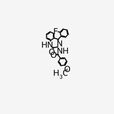 COc1ccc(C(=O)N[C@H]2N=C(c3ccccc3F)c3ccccc3NC2=O)cc1